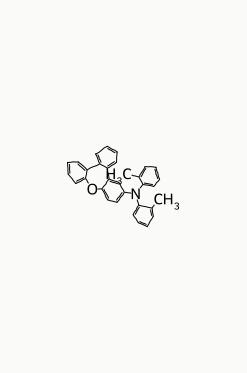 Cc1ccccc1N(c1ccc2c(c1)-c1ccccc1-c1ccccc1O2)c1ccccc1C